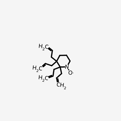 C=CCC1(CC=C)CCCN([O])C1(CC=C)CC=C